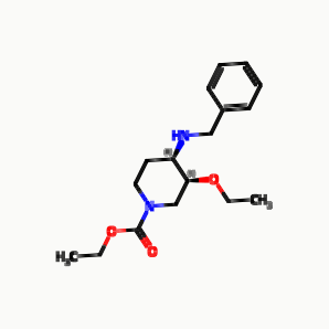 CCOC(=O)N1CC[C@@H](NCc2ccccc2)[C@@H](OCC)C1